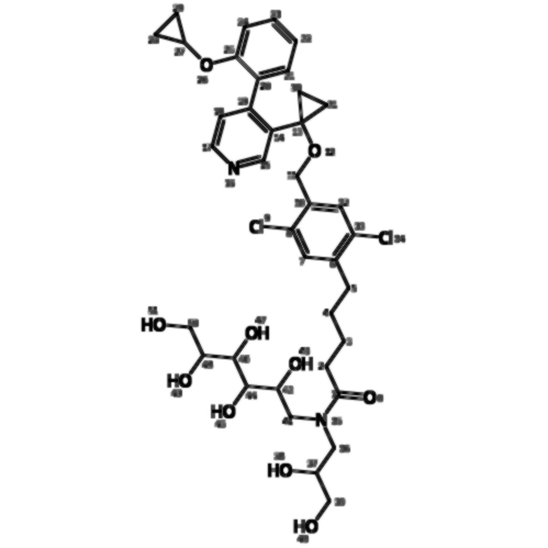 O=C(CCCCc1cc(Cl)c(COC2(c3cnccc3-c3ccccc3OC3CC3)CC2)cc1Cl)N(CC(O)CO)CC(O)C(O)C(O)C(O)CO